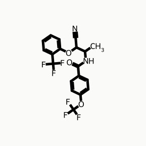 CC(NC(=O)c1ccc(OC(F)(F)F)cc1)C(C#N)Oc1ccccc1C(F)(F)F